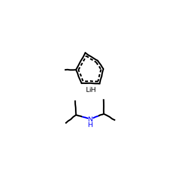 CC(C)NC(C)C.Cc1ccccc1.[LiH]